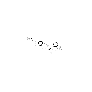 COc1cc(C(=O)NCCN(C)C)c(Cl)cc1Nc1ncc(Br)c(N[C@@H]2CCCC[C@H]2N(C)S(C)(=O)=O)n1